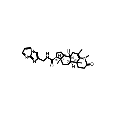 CC1=C2N(C)C(=O)CC[C@]2(C)[C@H]2CC[C@]3(C)[C@@H](C(=O)NCc4cn5cccnc5n4)CC[C@H]3[C@@H]2C1